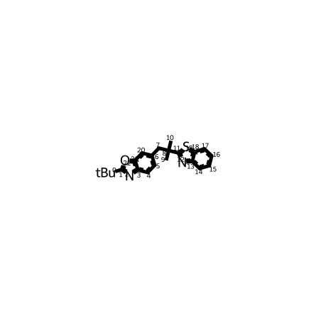 CC(C)(C)c1nc2ccc(CC(C)(C)c3nc4ccccc4s3)cc2o1